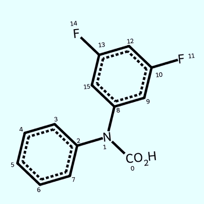 O=C(O)N(c1ccccc1)c1cc(F)cc(F)c1